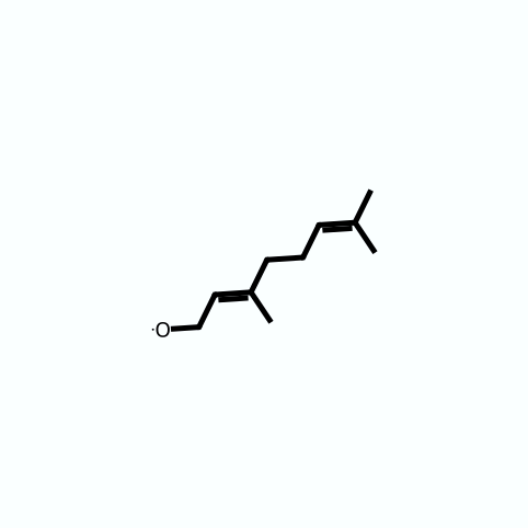 CC(C)=CCC/C(C)=C/C[O]